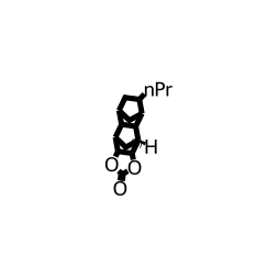 CCCC1CC2CC1C1C2C2C[C@H]1C1OC(=O)OC21